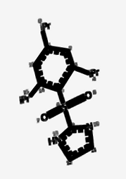 CC(C)c1cc(C(C)C)c(S(=O)(=O)c2ncc[nH]2)c(C(C)C)c1